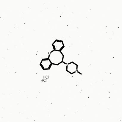 CN1CCN(C2Cc3ccccc3Oc3ccccc3C2)CC1.Cl.Cl